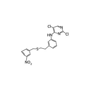 O=[N+]([O-])c1cccc(CSCCc2cccc(Nc3nc(Cl)ncc3Cl)c2)c1